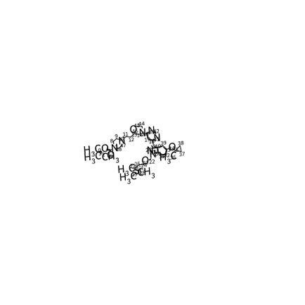 CC(C)(C)OC(=O)N1CCN(CCC2CN(c3cc(-c4nn(COCC[Si](C)(C)C)c5ccc(OC6(C)CC6)cc45)ncn3)CCO2)CC1